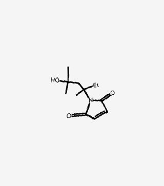 CCC(C)(CC(C)(C)O)N1C(=O)C=CC1=O